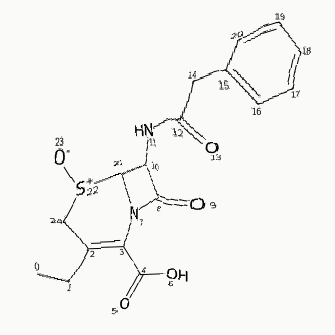 CCC1=C(C(=O)O)N2C(=O)C(NC(=O)Cc3ccccc3)C2[S+]([O-])C1